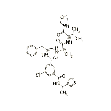 CCNC(=O)[C@@H](NC(=O)[C@H](C)NC[C@H](Cc1ccccc1)NC(=O)c1cc(Cl)cc(C(=O)NC(C)c2ccsc2)c1)C(C)C